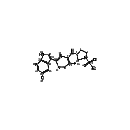 CCS(=O)(=O)N1CCC(Nc2nc(-c3c[nH]c4ncc(Cl)cc34)ncc2F)C1